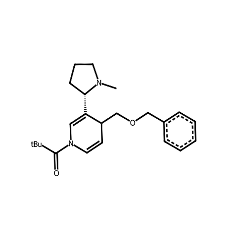 CN1CCC[C@H]1C1=CN(C(=O)C(C)(C)C)C=CC1COCc1ccccc1